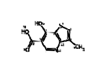 Cc1csc2c(O)c(C(=O)O)cnc12